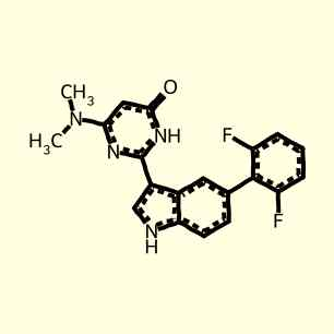 CN(C)c1cc(=O)[nH]c(-c2c[nH]c3ccc(-c4c(F)cccc4F)cc23)n1